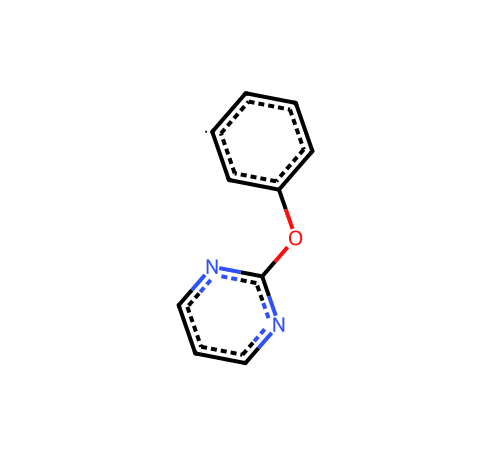 [c]1cccc(Oc2ncccn2)c1